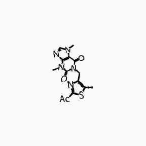 CC(=O)c1nc(Cn2c(=O)c3c(ncn3C)n(C)c2=O)c(C)s1